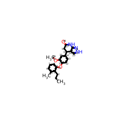 CCCc1c(C)cccc1Oc1ccc(C2CC(=O)Nc3n[nH]cc32)cc1OC